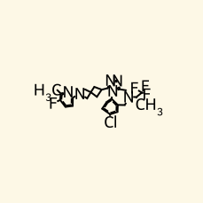 Cc1nc(N2CC3(CC(c4nnc5n4-c4ccc(Cl)cc4CN(C(C)C(F)(F)F)C5)C3)C2)ccc1F